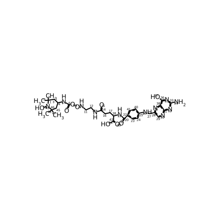 CC1(C)CC(NC(=O)OONCCNC(=O)CCC(NC(=O)c2ccc(NCc3cnc4nc(N)nc(O)c4n3)cc2)C(=O)O)CC(C)(C)N1O